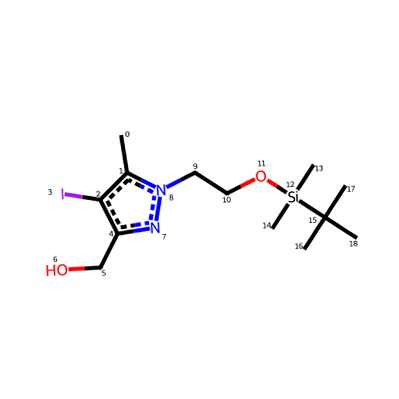 Cc1c(I)c(CO)nn1CCO[Si](C)(C)C(C)(C)C